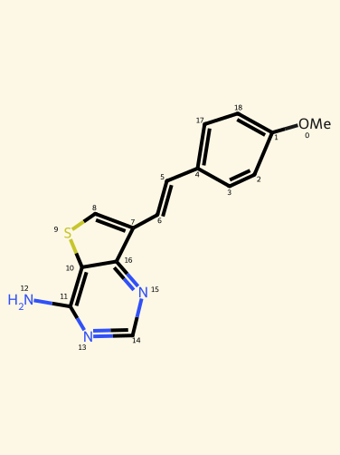 COc1ccc(C=Cc2csc3c(N)ncnc23)cc1